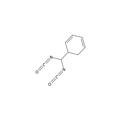 O=C=NC(N=C=O)C1C=CC=CC1